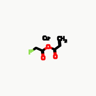 C=CC(=O)OC(=O)CF.[Cu]